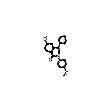 COc1ccc(-n2cc(-c3ccccc3)c3cc(OC)ccc3c2=O)cc1